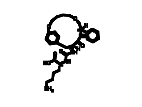 NCCCC[C@H](NC(=O)N[C@@H]1Cc2ccc(cc2)OCCCCOC[C@H](c2ccccc2)NC1=O)C(=O)O